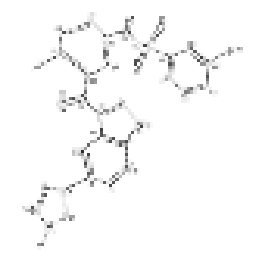 Cn1cc(-c2cnc3[nH]cc(C(=O)c4cc(NS(=O)(=O)c5cccc(F)c5)ccc4F)c3c2)cn1